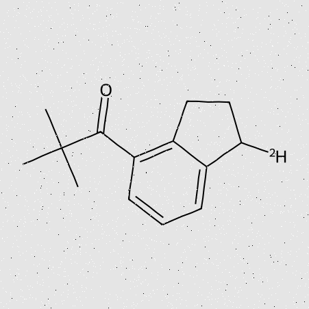 [2H]C1CCc2c(C(=O)C(C)(C)C)cccc21